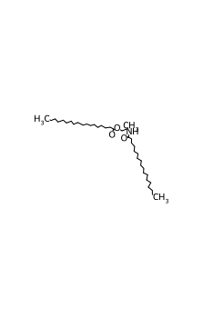 CCCCCCCCCCCCCCCCCC(=O)NC(C)COC(=O)CCCCCCCCCCCCCCCCC